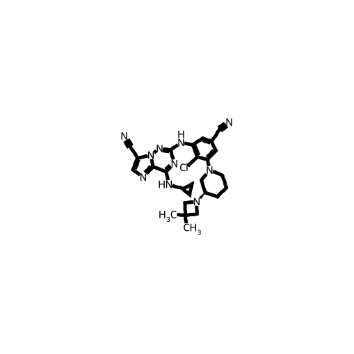 CC1(C)CN([C@@H]2CCCN(c3cc(C#N)cc(Nc4nc(NC5CC5)c5ncc(C#N)n5n4)c3Cl)C2)C1